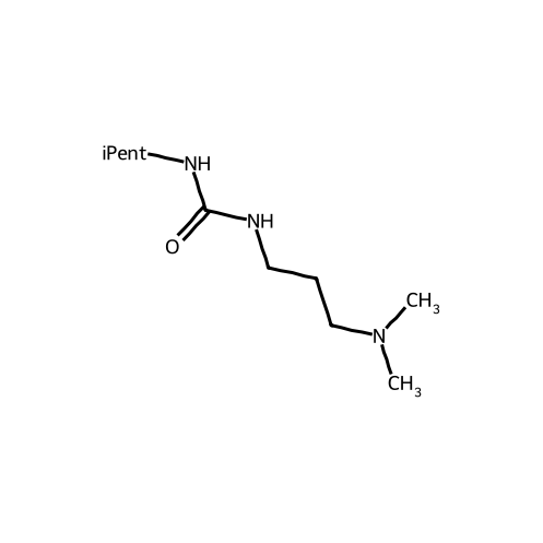 CCCC(C)NC(=O)NCCCN(C)C